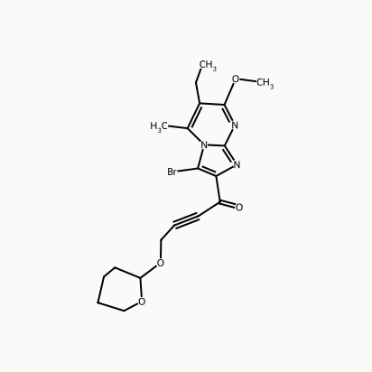 CCc1c(OC)nc2nc(C(=O)C#CCOC3CCCCO3)c(Br)n2c1C